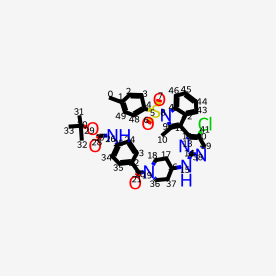 Cc1ccc(S(=O)(=O)n2c(C)c(-c3nc(NC4CCN(C(=O)c5ccc(NC(=O)OC(C)(C)C)cc5)CC4)ncc3Cl)c3ccccc32)cc1